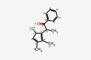 CC1=CC(Cl)C(C(C)C(=O)c2ccccc2)=C1C